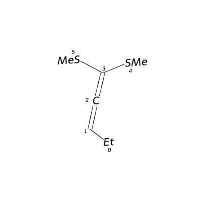 CCC=C=C(SC)SC